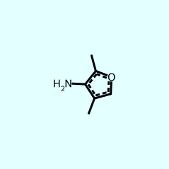 Cc1coc(C)c1N